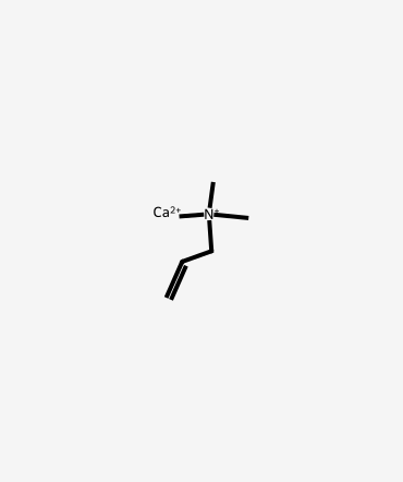 C=CC[N+](C)(C)C.[Ca+2]